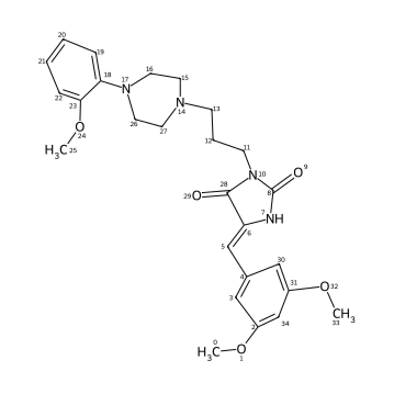 COc1cc(/C=C2\NC(=O)N(CCCN3CCN(c4ccccc4OC)CC3)C2=O)cc(OC)c1